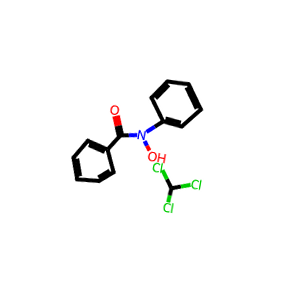 ClC(Cl)Cl.O=C(c1ccccc1)N(O)c1ccccc1